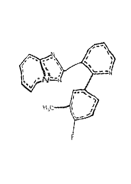 Cc1cc(-c2ncccc2-c2nc3ccccn3n2)ccc1F